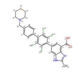 Cc1nc2c(C(=O)O)cc(-c3c(F)c(F)c(-c4ccc(CN5CCSCC5)cc4)c(F)c3F)cc2[nH]1